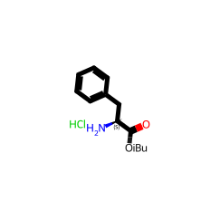 CC(C)COC(=O)[C@@H](N)Cc1ccccc1.Cl